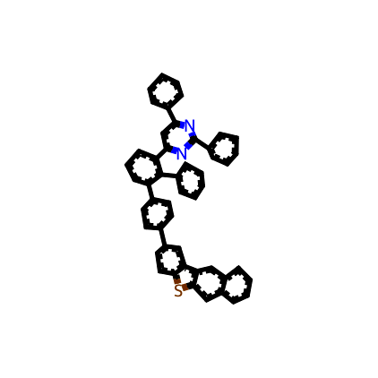 c1ccc(-c2cc(-c3cccc(-c4ccc(-c5ccc6sc7cc8ccccc8cc7c6c5)cc4)c3-c3ccccc3)nc(-c3ccccc3)n2)cc1